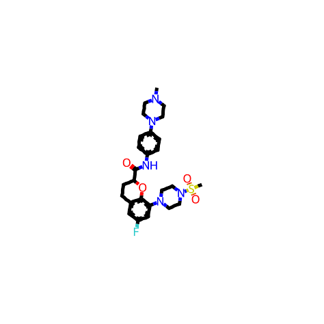 CN1CCN(c2ccc(NC(=O)C3CCc4cc(F)cc(N5CCN(S(C)(=O)=O)CC5)c4O3)cc2)CC1